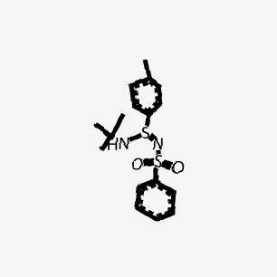 Cc1ccc(S(=NS(=O)(=O)c2ccccc2)NC(C)(C)C)cc1